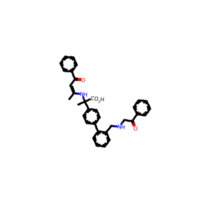 CC(=CC(=O)c1ccccc1)NC(C)(C(=O)O)c1ccc(-c2ccccc2CNCC(=O)c2ccccc2)cc1